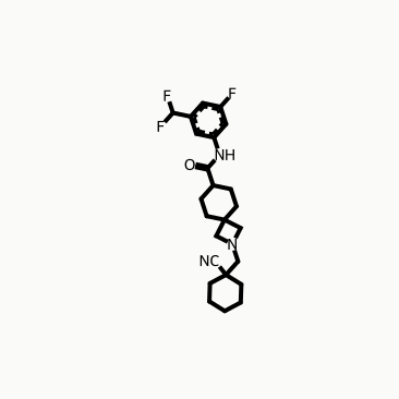 N#CC1(CN2CC3(CCC(C(=O)Nc4cc(F)cc(C(F)F)c4)CC3)C2)CCCCC1